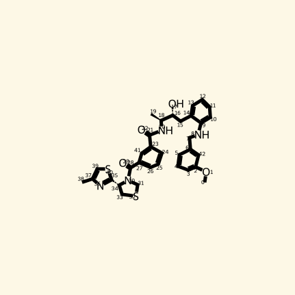 COc1cccc(CNc2ccccc2C[C@@H](O)[C@H](C)NC(=O)c2cccc(C(=O)N3CSC[C@@H]3c3nc(C)cs3)c2)c1